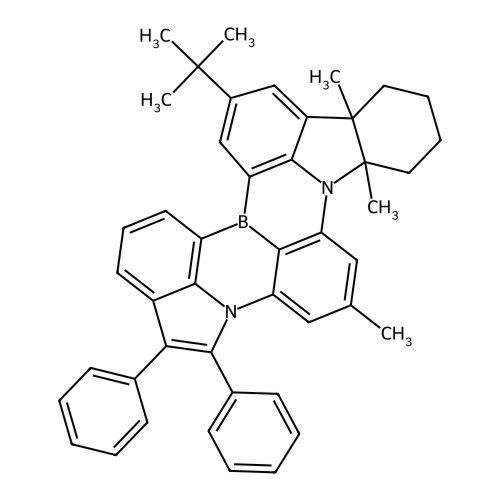 Cc1cc2c3c(c1)-n1c(-c4ccccc4)c(-c4ccccc4)c4cccc(c41)B3c1cc(C(C)(C)C)cc3c1N2C1(C)CCCCC31C